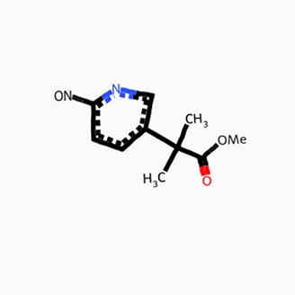 COC(=O)C(C)(C)c1ccc(N=O)nc1